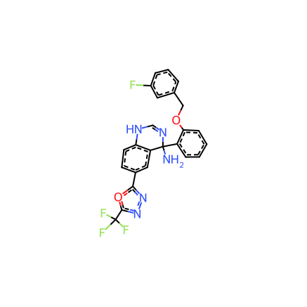 NC1(c2ccccc2OCc2cccc(F)c2)N=CNc2ccc(-c3nnc(C(F)(F)F)o3)cc21